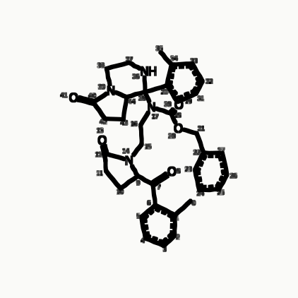 Cc1ccccc1C(=O)C1CCC(=O)N1CCN(C(=O)OCc1ccccc1)C1(c2ccccc2C)NCCN2C(=O)CCC21